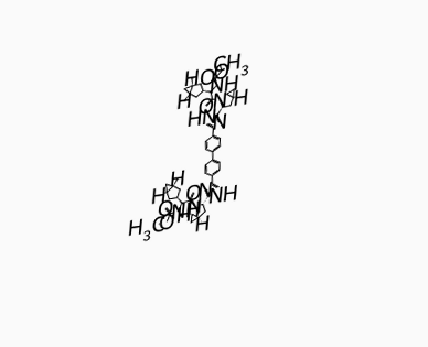 COC(=O)NC(C(=O)N1C2C[C@@H]2C[C@H]1c1nc(-c2ccc(-c3ccc(-c4c[nH]c([C@@H]5C[C@H]6C[C@H]6N5C(=O)C(NC(=O)OC)[C@H]5C[C@@H]6C[C@@H]6C5)n4)cc3)cc2)c[nH]1)[C@H]1C[C@@H]2C[C@@H]2C1